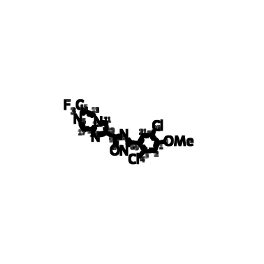 COc1cc(Cl)c(-c2noc(-c3cn4cc(C(F)(F)F)ncc4n3)n2)cc1Cl